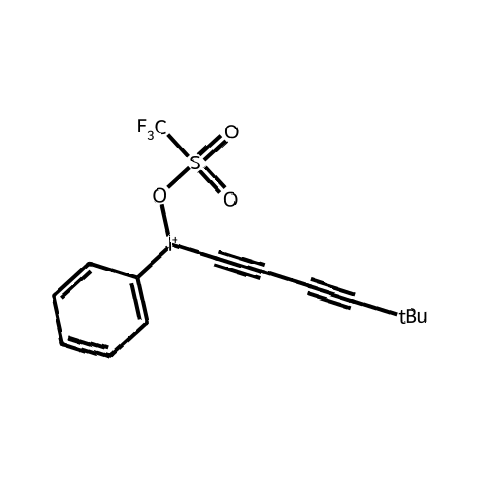 CC(C)(C)C#CC#C[I+](OS(=O)(=O)C(F)(F)F)c1ccccc1